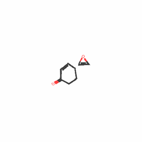 C1=CO1.O=C1C=CCCC1